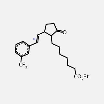 CCOC(=O)CCCCCCC1C(=O)CCC1/C=C/c1cccc(C(F)(F)F)c1